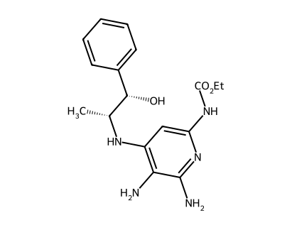 CCOC(=O)Nc1cc(N[C@H](C)[C@@H](O)c2ccccc2)c(N)c(N)n1